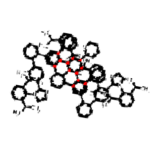 CC(C)c1cccc(C(C)C)c1-n1ccnc1-c1ccc(-c2ccccc2-c2cc(-c3ccccc3-c3ccc(-c4nccn4-c4c(C(C)C)cccc4C(C)C)cc3)cc(-c3cccc(-c4cc(-c5ccccc5-c5ccc(-c6nccn6-c6c(C(C)C)cccc6C(C)C)cc5)cc(-c5ccccc5-c5ccc(-c6nccn6-c6c(C(C)C)cccc6C(C)C)cc5)c4)c3-c3ccc(-c4ccccn4)nc3)c2)cc1